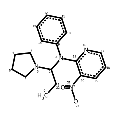 CCC(N1CCCC1)N(c1ccccc1)c1ncccc1[N+](=O)[O-]